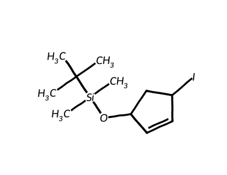 CC(C)(C)[Si](C)(C)OC1C=CC(I)C1